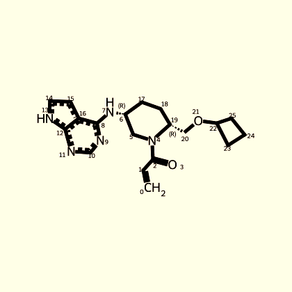 C=CC(=O)N1C[C@H](Nc2ncnc3[nH]ccc23)CC[C@@H]1COC1CCC1